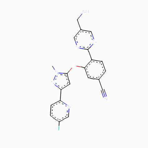 Cn1nc(-c2ccc(F)cn2)cc1Oc1cc(C#N)ccc1-c1ncc(CN)cn1